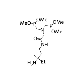 CCC(C)(N)CCNC(=O)CN(CP(OC)OC)CP(OC)OC